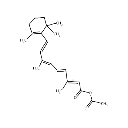 CC(=O)OC(=O)/C=C(\C)C=CC=C(C)C=CC1=C(C)CCCC1(C)C